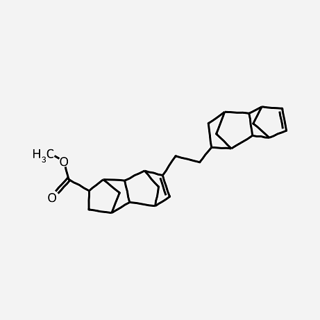 COC(=O)C1CC2CC1C1C3CC(C=C3CCC3CC4CC3C3C5C=CC(C5)C43)C21